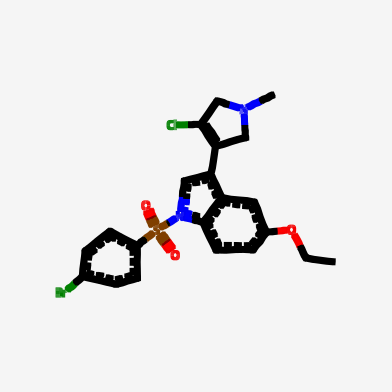 CCOc1ccc2c(c1)c(C1=C(Cl)CN(C)C1)cn2S(=O)(=O)c1ccc(Br)cc1